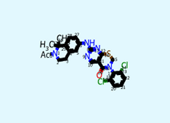 CC(=O)N1CCc2cc(Nc3ncc4c(n3)SCN(c3c(Cl)cccc3Cl)C4=O)ccc2C1(C)C